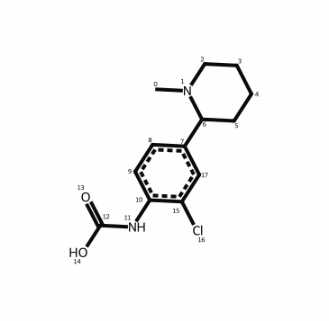 CN1CCCCC1c1ccc(NC(=O)O)c(Cl)c1